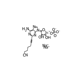 N#CCCCCC#Cc1nc(N)c2ncn([C@@H]3O[C@H](COP(=O)([O-])[O-])[C@@H](O)[C@H]3O)c2n1.[Na+].[Na+]